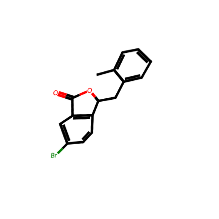 Cc1ccccc1CC1OC(=O)c2cc(Br)ccc21